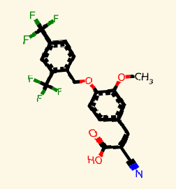 COc1cc(C=C(C#N)C(=O)O)ccc1OCc1ccc(C(F)(F)F)cc1C(F)(F)F